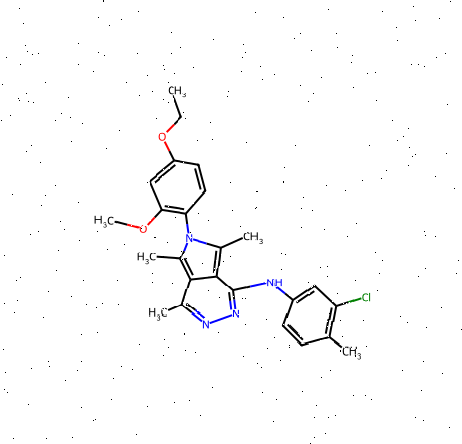 CCOc1ccc(-n2c(C)c3c(C)nnc(Nc4ccc(C)c(Cl)c4)c3c2C)c(OC)c1